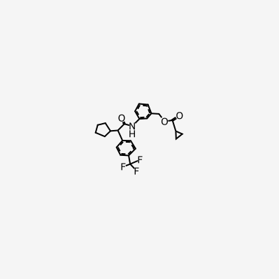 O=C(OCc1cccc(NC(=O)C(c2ccc(C(F)(F)F)cc2)C2CCCC2)c1)C1CC1